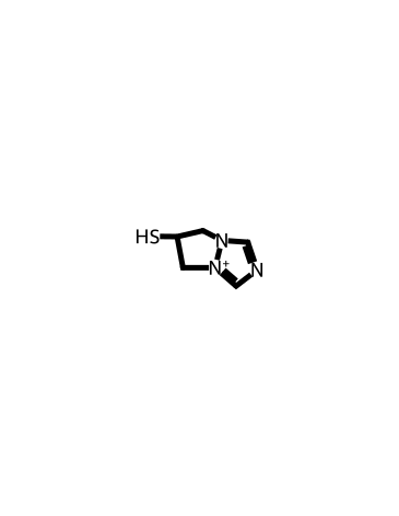 SC1Cn2cnc[n+]2C1